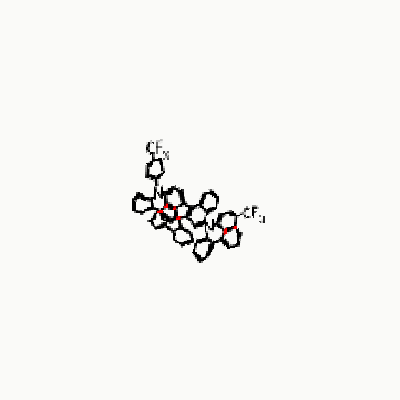 FC(F)(F)c1ccc(N(c2ccc3c(c2)C2(c4ccccc4-c4ccccc42)c2cc(N(c4ccc(C(F)(F)F)cc4)c4ccccc4-c4ccccc4)c4ccccc4c2-3)c2ccccc2-c2ccccc2)cc1